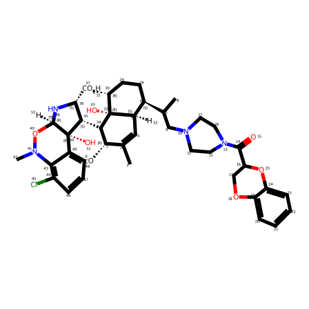 CC(=O)O[C@H]1C(C)=C[C@@H]2[C@H](C(C)CN3CCN(C(=O)C4COc5ccccc5O4)CC3)CC[C@@H](C)[C@]2(O)C1[C@H]1[C@@H](C(=O)O)N[C@@H]2ON(C)c3c(Cl)cccc3[C@@]21O